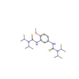 COc1ccc(NC(=S)N(C(C)C)C(C)C)cc1NC(=S)N(C(C)C)C(C)C